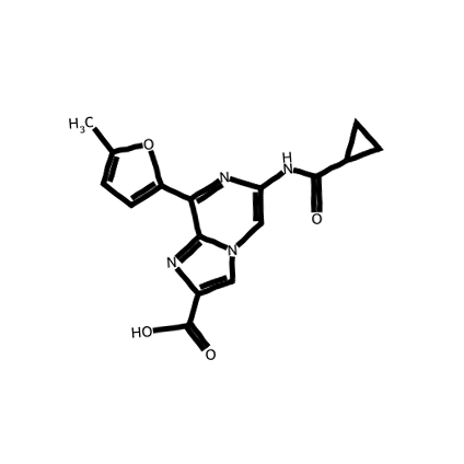 Cc1ccc(-c2nc(NC(=O)C3CC3)cn3cc(C(=O)O)nc23)o1